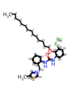 CCCCCCCCCCCCCCOc1c(F)cccc1NC(=O)Nc1ccccc1C[n+]1csc(C)c1.[Br-]